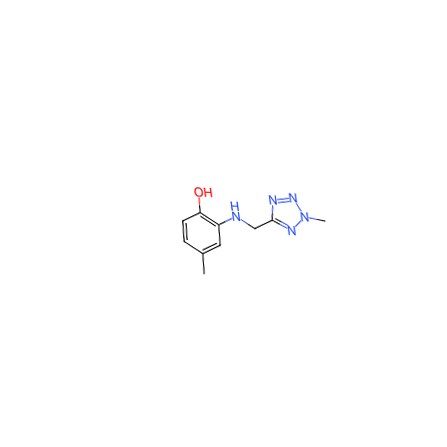 Cc1ccc(O)c(NCc2nnn(C)n2)c1